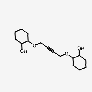 OC1CCCCC1OCC#CCOC1CCCCC1O